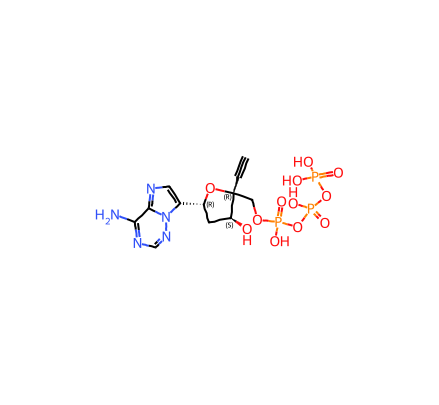 C#C[C@]1(COP(=O)(O)OP(=O)(O)OP(=O)(O)O)O[C@@H](c2cnc3c(N)ncnn23)C[C@@H]1O